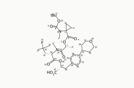 C[C@@H](OC(=O)C1(N(C)C(=O)OC(C)(C)C)CC1)C(=O)N(C)[C@@H](CC(C)(C)F)C(=O)O[C@H](Cc1ccc(C2CCOCC2)cc1)C(=O)O